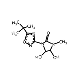 CN1C(=O)N(c2noc(C(C)(C)C)n2)C(O)C1O